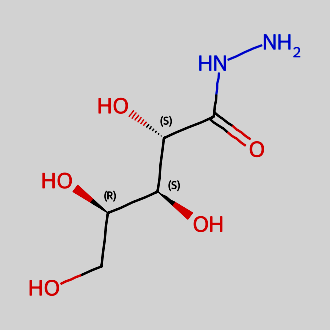 NNC(=O)[C@@H](O)[C@@H](O)[C@H](O)CO